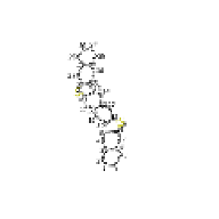 c1ccc2cc3c(cc2c1)sc1cc2cc4c(cc2cc13)sc1cc2ccccc2cc14